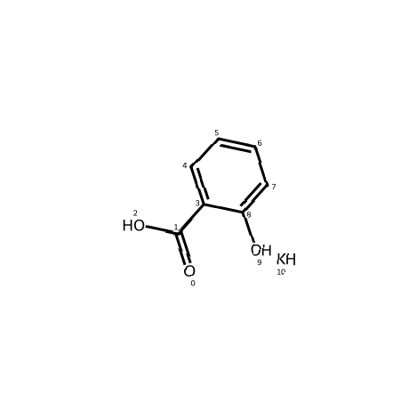 O=C(O)c1ccccc1O.[KH]